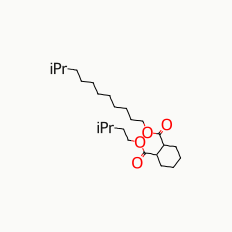 CC(C)CCCCCCCCCOC(=O)C1CCCCC1C(=O)OCCC(C)C